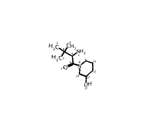 CC(C)(C)C(N)C(=O)N1CCCC(O)C1